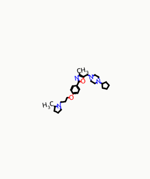 Cc1nc(-c2ccc(OCCCN3CCCC3C)cc2)oc1CN1CCN(C2CCCC2)CC1